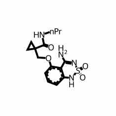 CCCNC(=O)C1(COc2cccc3c2C(N)=NS(=O)(=O)N3)CC1